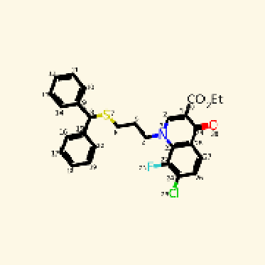 CCOC(=O)c1cn(CCCSC(c2ccccc2)c2ccccc2)c2c(F)c(Cl)ccc2c1=O